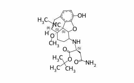 CO[C@@]12CCC(N[C@@H](CC(N)=O)C(=O)OC(C)(C)C)C3Oc4c(O)ccc5c4[C@@]31CCN(C)[C@@H]2C5